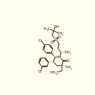 C[C@@H](CCS(=O)(=O)CC(C)(C)O)N1C(=O)[C@@](C)(CC(=O)O)C[C@H](c2cccc(Cl)c2)[C@H]1c1ccc(Cl)cc1